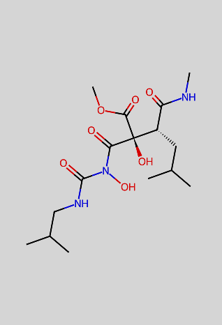 CNC(=O)[C@H](CC(C)C)[C@@](O)(C(=O)OC)C(=O)N(O)C(=O)NCC(C)C